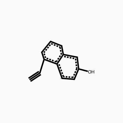 C#Cc1cccc2cc(O)c[c]c12